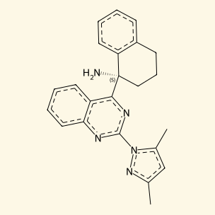 Cc1cc(C)n(-c2nc([C@]3(N)CCCc4ccccc43)c3ccccc3n2)n1